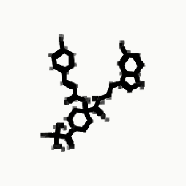 CC(C)(O)C(=O)N1CCC(NC(=O)C=Cc2ccc(F)cc2)(C(=O)NCCc2c[nH]c3ccc(F)cc23)CC1